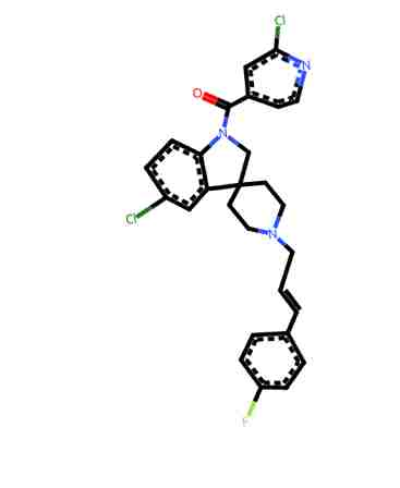 O=C(c1ccnc(Cl)c1)N1CC2(CCN(C/C=C/c3ccc(F)cc3)CC2)c2cc(Cl)ccc21